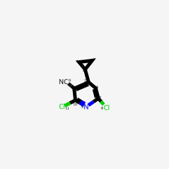 N#Cc1c(C2CC2)cc(Cl)nc1Cl